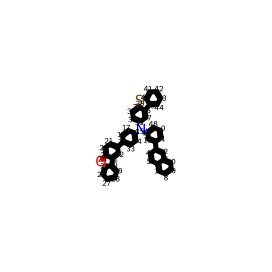 c1cc(-c2ccc3ccccc3c2)cc(N(c2ccc(-c3ccc4oc5ccccc5c4c3)cc2)c2ccc3sc4ccccc4c3c2)c1